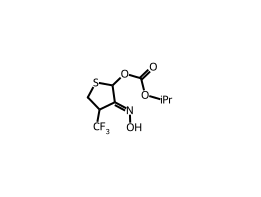 CC(C)OC(=O)OC1SCC(C(F)(F)F)C1=NO